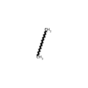 C=CCCC=CCC=CCC=CCCCCCCCC